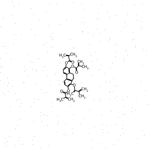 C=C(C)C(=C)Oc1c(OC(=O)C(=C)C)ccc2c1CCc1c-2ccc(OC(=O)C(=C)C)c1OC(=O)C(=C)C